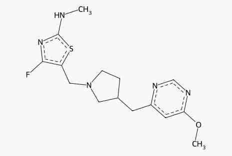 CNc1nc(F)c(CN2CCC(Cc3cc(OC)ncn3)C2)s1